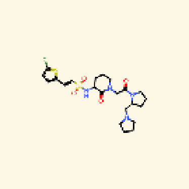 O=C1[C@@H](NS(=O)(=O)/C=C/c2ccc(Cl)s2)CCCN1CC(=O)N1CCC[C@H]1CN1CCCC1